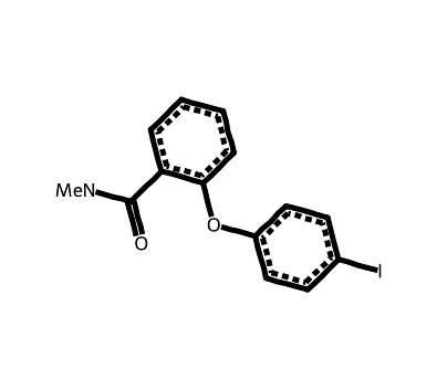 CNC(=O)c1ccccc1Oc1ccc(I)cc1